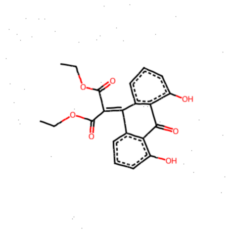 CCOC(=O)C(C(=O)OCC)=C1c2cccc(O)c2C(=O)c2c(O)cccc21